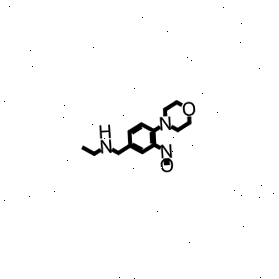 CCNCc1ccc(N2CCOCC2)c(N=O)c1